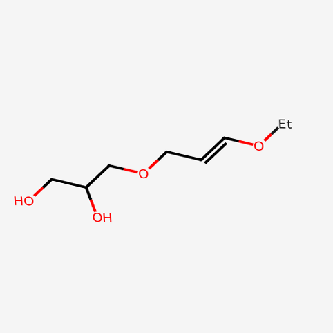 CCOC=CCOCC(O)CO